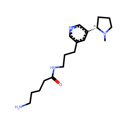 CN1CCC[C@H]1c1cncc(CCCNC(=O)CCCCN)c1